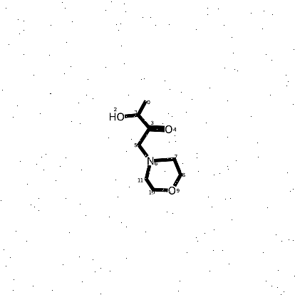 CC(O)C(=O)CN1CCOCC1